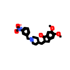 COc1cc2c(cc1OC)C(=O)C(CC1CCN(Cc3cccc([N+](=O)[O-])c3)CC1)C2